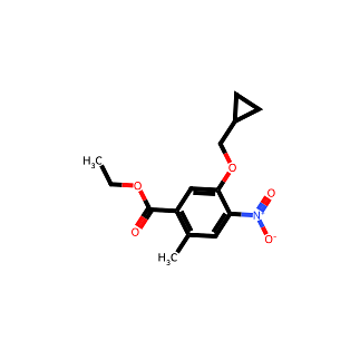 CCOC(=O)c1cc(OCC2CC2)c([N+](=O)[O-])cc1C